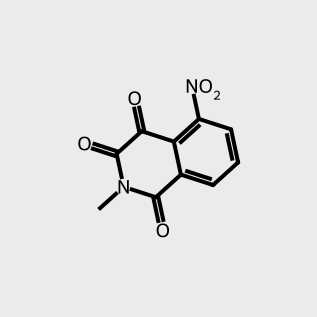 CN1C(=O)C(=O)c2c(cccc2[N+](=O)[O-])C1=O